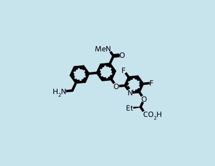 CC[C@@H](Oc1nc(Oc2cc(C(=O)NC)cc(-c3cccc(CN)c3)c2)c(F)cc1F)C(=O)O